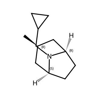 C[C@H]1C[C@H]2CC[C@@H](C1)N2CC1CC1